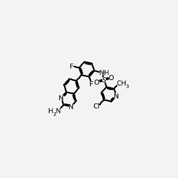 Cc1ncc(Cl)cc1S(=O)(=O)Nc1ccc(F)c(-c2ccc3nc(N)ncc3c2)c1F